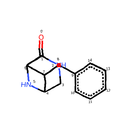 O=C1NCC2NC1C2Cc1ccccc1